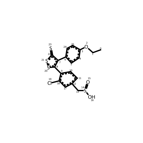 CCOc1ccc(-c2c(-c3ccc(CS(=O)O)cc3Cl)ssc2=S)cc1